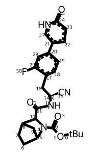 CC(C)(C)OC(=O)N1C2CCC(C2)C1C(=O)N[C@H](C#N)Cc1ccc(-c2ccc(=O)[nH]c2)cc1F